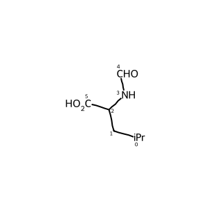 CC(C)CC(NC=O)C(=O)O